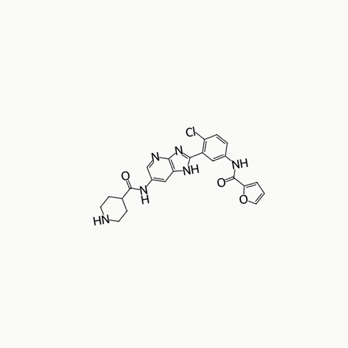 O=C(Nc1ccc(Cl)c(-c2nc3ncc(NC(=O)C4CCNCC4)cc3[nH]2)c1)c1ccco1